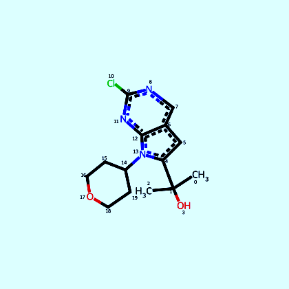 CC(C)(O)c1cc2cnc(Cl)nc2n1C1CCOCC1